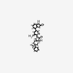 CN(C)[C@]1(c2ccccc2)CC[C@]2(CC1)CN(c1ncc(-c3cccc4c3CC(=O)N4)cc1P)C(=O)N2